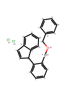 C1=CC(c2cccc[c]2[Ti+2][O]Cc2ccccc2)c2ccccc21.[Cl-].[Cl-]